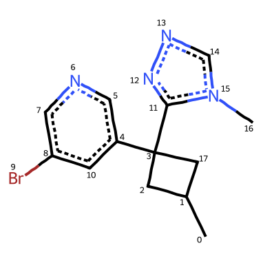 CC1CC(c2cncc(Br)c2)(c2nncn2C)C1